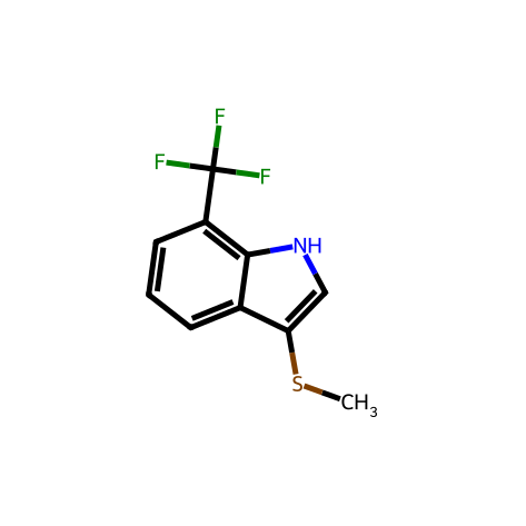 CSc1c[nH]c2c(C(F)(F)F)cccc12